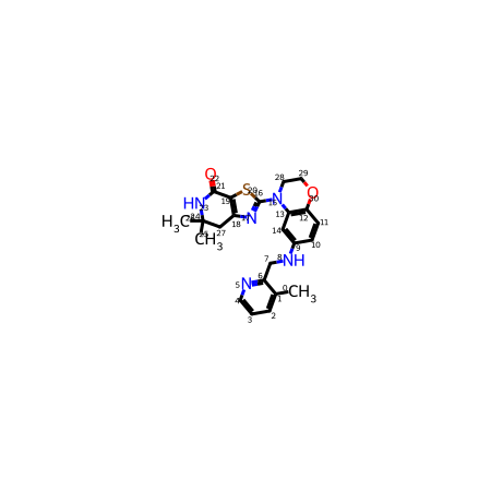 Cc1cccnc1CNc1ccc2c(c1)N(c1nc3c(s1)C(=O)NC(C)(C)C3)CCO2